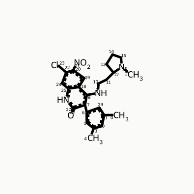 Cc1cc(C)cc(-c2c(NCCC3CCCN3C)c3cc([N+](=O)[O-])c(Cl)cc3[nH]c2=O)c1